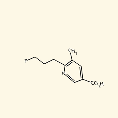 Cc1cc(C(=O)O)cnc1CCCF